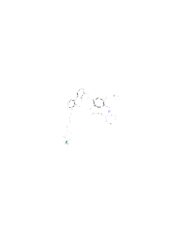 COc1cc(OCc2cccc(-c3cccc(OCCCN4CCC(F)(F)C4)c3C)c2C)c2c(c1CN1CCCCC1)CCC2